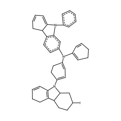 IC1CCC2C3=C(C=CCC3)N(C3=CC=C(N(C4=CCCC=C4)c4ccc5c(c4)N(c4ccccc4)C4=CC=CCC45)CC3)C2C1